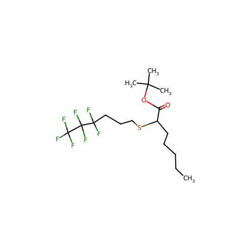 CCCCCC(SCCCC(F)(F)C(F)(F)C(F)(F)F)C(=O)OC(C)(C)C